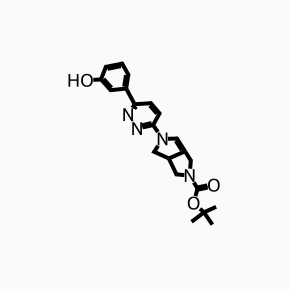 CC(C)(C)OC(=O)N1CC2=CN(c3ccc(-c4cccc(O)c4)nn3)CC2C1